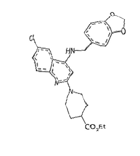 CCOC(=O)C1CCN(c2cc(NCc3ccc4c(c3)OCO4)c3cc(Cl)ccc3n2)CC1